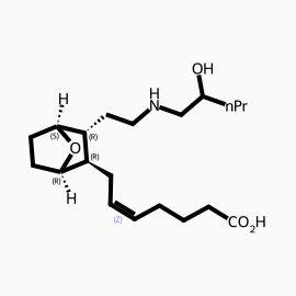 CCCC(O)CNCC[C@@H]1[C@@H](C/C=C\CCCC(=O)O)[C@H]2CC[C@@H]1O2